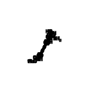 C[C@@H](N)[C@H](NC(=O)c1ccc(C#CC#Cc2ccc(NC(=O)OC(C)(C)C)cc2)cc1)C(=O)NO